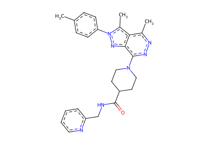 Cc1ccc(-n2nc3c(N4CCC(C(=O)NCc5ccccn5)CC4)nnc(C)c3c2C)cc1